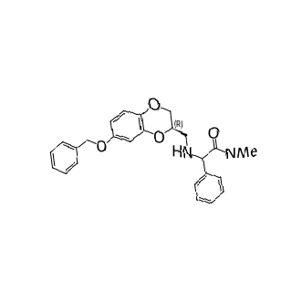 CNC(=O)C(NC[C@@H]1COc2ccc(OCc3ccccc3)cc2O1)c1ccccc1